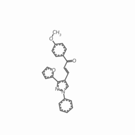 COc1ccc(C(=O)C=Cc2cn(-c3ccccc3)nc2-c2ccco2)cc1